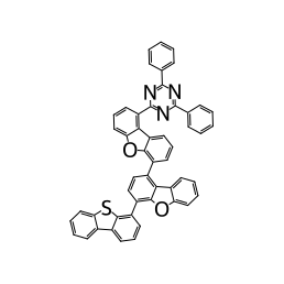 c1ccc(-c2nc(-c3ccccc3)nc(-c3cccc4oc5c(-c6ccc(-c7cccc8c7sc7ccccc78)c7oc8ccccc8c67)cccc5c34)n2)cc1